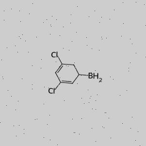 BC1C=C(Cl)C=C(Cl)C1